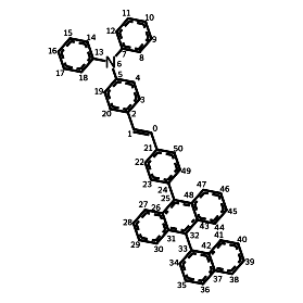 C(=C\c1ccc(N(c2ccccc2)c2ccccc2)cc1)/c1ccc(-c2c3ccccc3c(-c3cccc4ccccc34)c3ccccc23)cc1